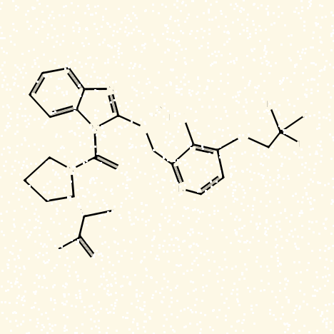 Cc1c(OCC(F)(F)F)ccnc1C[S@@+]([O-])c1nc2ccccc2n1C(=O)N1CCC[C@H]1C(C)C(=O)O